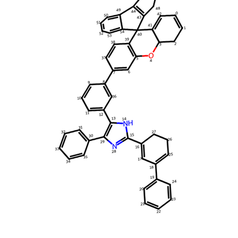 C1=CCC2Oc3cc(-c4cccc(-c5[nH]c(C6=CC(c7ccccc7)=CCC6)nc5-c5ccccc5)c4)ccc3C3(C2=C1)C1=C(C=CCC1)c1ccccc13